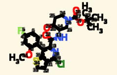 COc1cc(F)ccc1-c1c(C(=O)N[C@H]2CN(C(=O)OC(C)(C)C)CCC2=O)nc(Cl)c2ccsc12